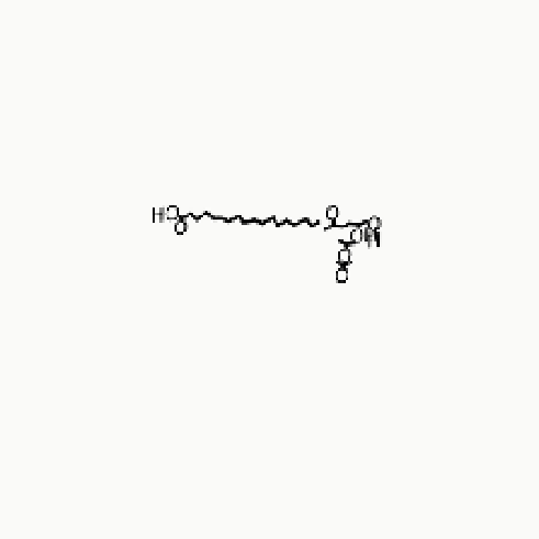 CC(=O)CCC(O)CO.CC(C)=O.CC(C)=O.CCCCCCCCCCCCCCCCCC(=O)O